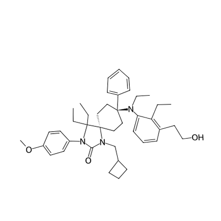 CCc1c(CCO)cccc1N(CC)[C@]1(c2ccccc2)CC[C@]2(CC1)N(CC1CCC1)C(=O)N(c1ccc(OC)cc1)C2(CC)CC